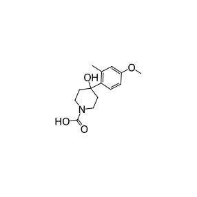 COc1ccc(C2(O)CCN(C(=O)O)CC2)c(C)c1